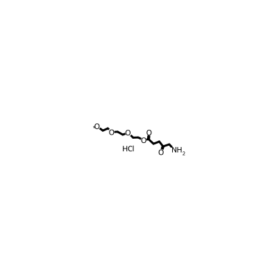 COCCOCCOCCOC(=O)CCC(=O)CN.Cl